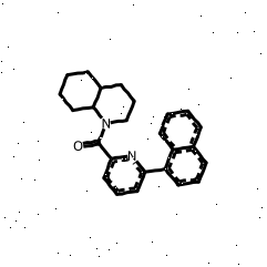 O=C(c1cccc(-c2cccc3ccccc23)n1)N1CCCC2CCCCC21